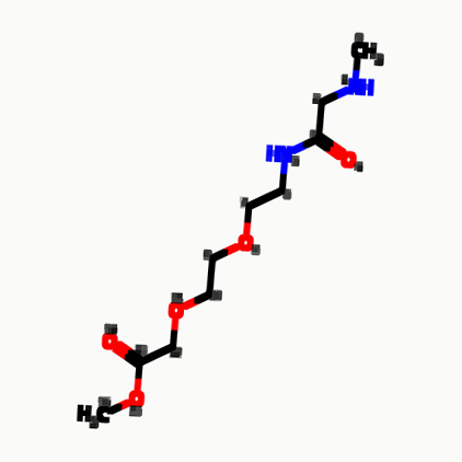 CNCC(=O)NCCOCCOCC(=O)OC